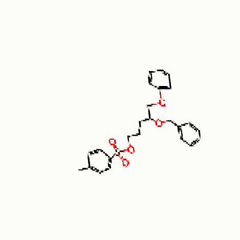 Cc1ccc(S(=O)(=O)OCCCC(COc2ccccc2)OCc2ccccc2)cc1